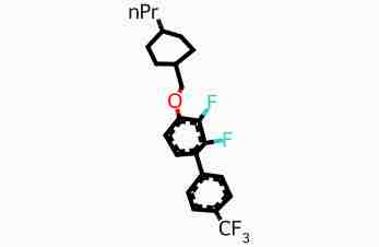 CCCC1CCC(COc2ccc(-c3ccc(C(F)(F)F)cc3)c(F)c2F)CC1